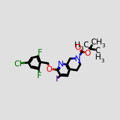 CC(C)(C)OC(=O)N1CCc2cc(I)c(OCc3c(F)cc(Cl)cc3F)nc2C1